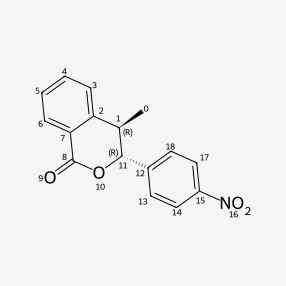 C[C@@H]1c2ccccc2C(=O)O[C@H]1c1ccc([N+](=O)[O-])cc1